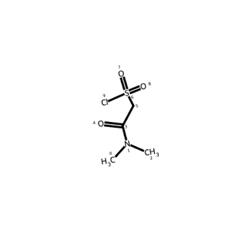 CN(C)C(=O)CS(=O)(=O)Cl